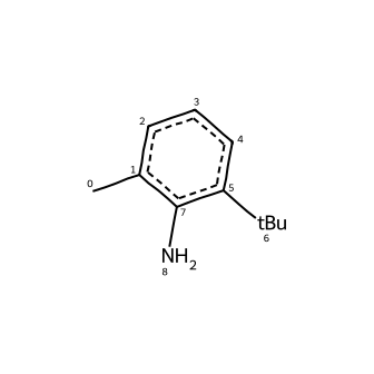 Cc1cccc(C(C)(C)C)c1N